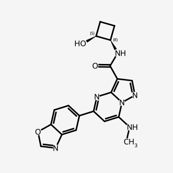 CNc1cc(-c2ccc3ocnc3c2)nc2c(C(=O)N[C@@H]3CC[C@@H]3O)cnn12